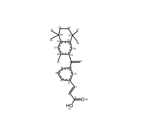 C=C(c1cccc(C=CC(=O)O)c1)c1cc2c(cc1C)C(C)(C)CCC2(C)C